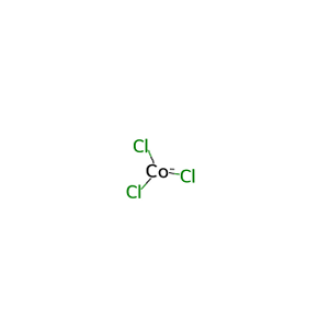 [Cl][Co-]([Cl])[Cl]